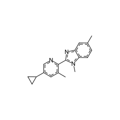 Cc1ccc2c(c1)nc(-c1ncc(C3CC3)cc1C)n2C